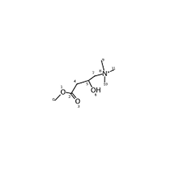 COC(=O)CC(O)C[N+](C)(C)C